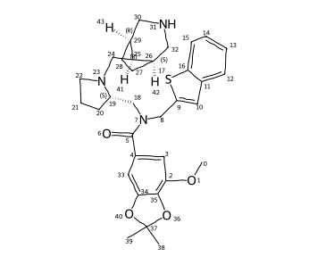 COc1cc(C(=O)N(Cc2cc3ccccc3s2)C[C@@H]2CCCN2C[C@@H]2[C@@H]3CC[C@H]2CNC3)cc2c1OC(C)(C)O2